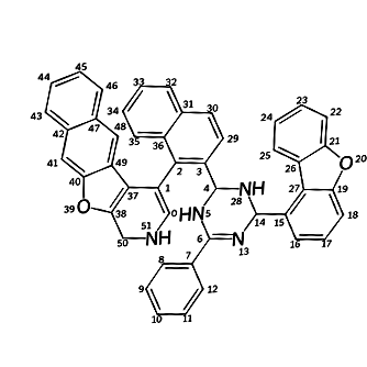 C1=C(c2c(C3NC(c4ccccc4)=NC(c4cccc5oc6ccccc6c45)N3)ccc3ccccc23)c2c(oc3cc4ccccc4cc23)CN1